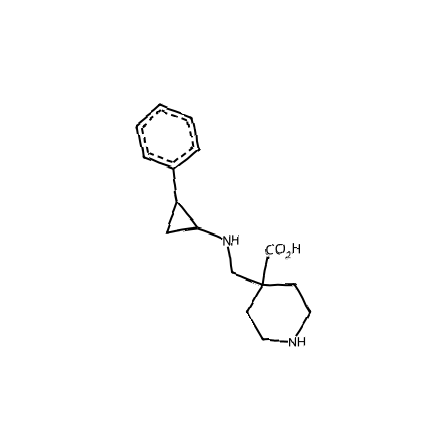 O=C(O)C1(CNC2CC2c2ccccc2)CCNCC1